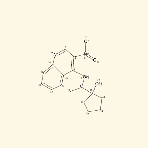 CC(Nc1c([N+](=O)[O-])cnc2ccccc12)C1(O)CCCC1